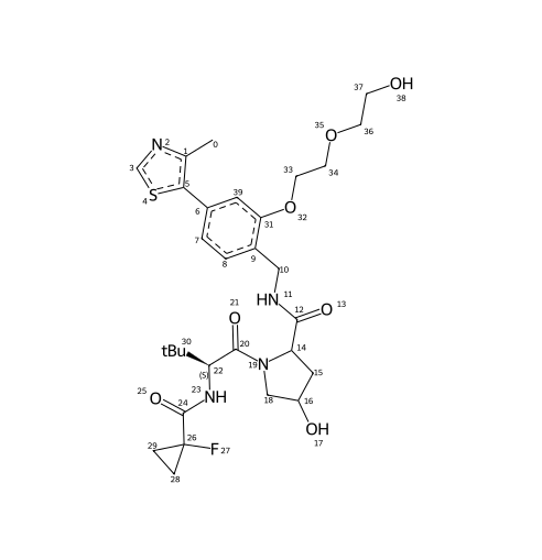 Cc1ncsc1-c1ccc(CNC(=O)C2CC(O)CN2C(=O)[C@@H](NC(=O)C2(F)CC2)C(C)(C)C)c(OCCOCCO)c1